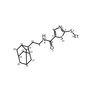 CCSc1ncc(C(=O)NCCC2C3CC4CC(C3)CC2C4)s1